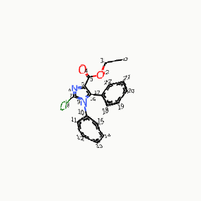 CCOC(=O)c1nc(Cl)n(-c2ccccc2)c1-c1ccccc1